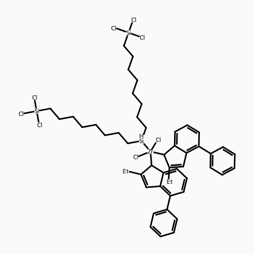 CCC1=Cc2c(-c3ccccc3)cccc2[CH]1[Zr]([Cl])([Cl])([CH]1C(CC)=Cc2c(-c3ccccc3)cccc21)[SiH](CCCCCCCC[Si](Cl)(Cl)Cl)CCCCCCCC[Si](Cl)(Cl)Cl